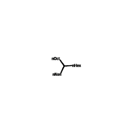 CCCCCCCCC[C](CCCCCC)CCCCCCCC